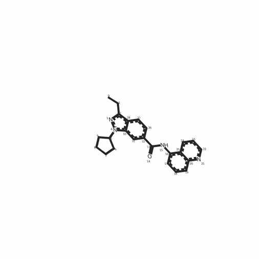 CCc1nn(C2CCCC2)c2cc(C(=O)Nc3cccc4ncccc34)ccc12